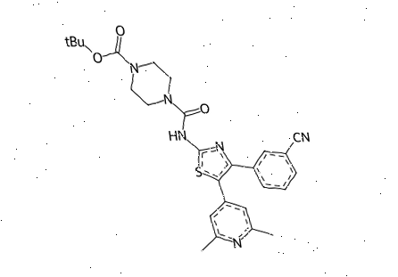 Cc1cc(-c2sc(NC(=O)N3CCN(C(=O)OC(C)(C)C)CC3)nc2-c2cccc(C#N)c2)cc(C)n1